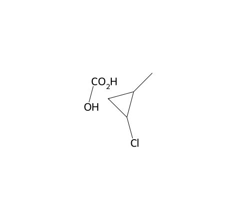 CC1CC1Cl.O=C(O)O